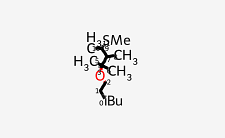 CCC(C)CCOC(C)(C)C(C)C(C)SC